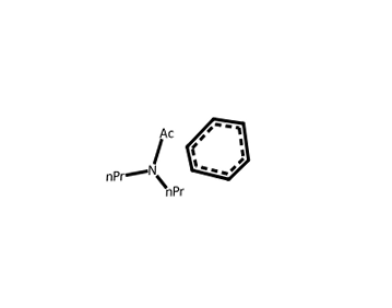 CCCN(CCC)C(C)=O.c1ccccc1